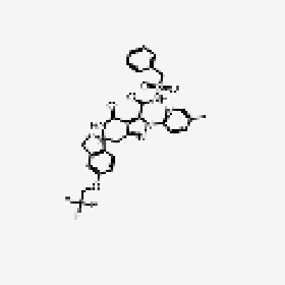 Cc1ccc(-n2nc3c(c2C(=O)NS(=O)(=O)Cc2ccccc2)C(=O)N[C@@]2(CCc4cc(OCC(F)(F)F)ccc42)C3)nc1